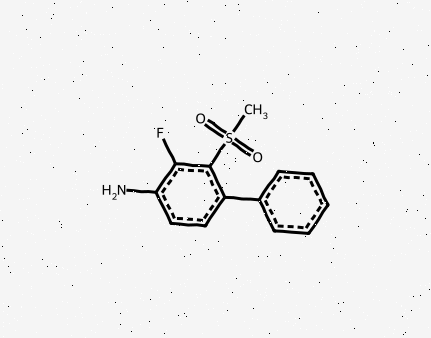 CS(=O)(=O)c1c(-c2ccccc2)ccc(N)c1F